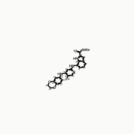 CNC(=O)c1cc2cccc(Nc3cc(Nc4ccc5c(c4)OCCO5)c(F)cn3)c2[nH]1